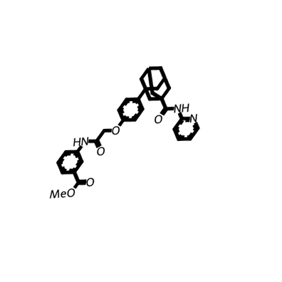 COC(=O)c1cccc(NC(=O)COc2ccc(C34CC5CC(CC(C(=O)Nc6ccccn6)(C5)C3)C4)cc2)c1